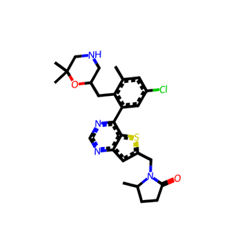 Cc1cc(Cl)cc(-c2ncnc3cc(CN4C(=O)CCC4C)sc23)c1CC1CNCC(C)(C)O1